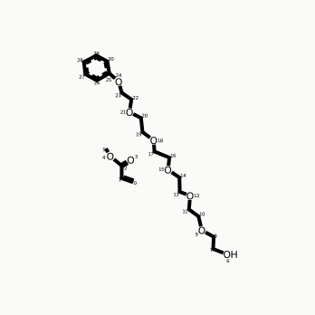 C=CC(=O)OC.OCCOCCOCCOCCOCCOCCOc1ccccc1